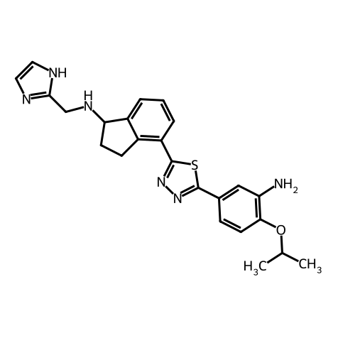 CC(C)Oc1ccc(-c2nnc(-c3cccc4c3CCC4NCc3ncc[nH]3)s2)cc1N